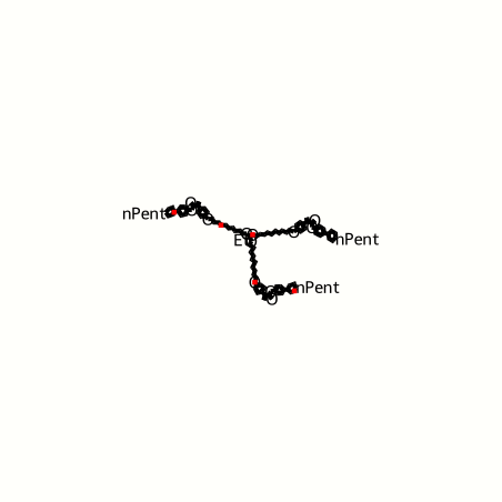 C=C(C(=O)Oc1ccc(C2CCC(CCCCC)CC2)cc1)c1ccc(OCCCCCCCCCCOC(CC)(OCCCCCCCCCCOc2ccc(C(=C)C(=O)Oc3ccc(C4CCC(CCCCC)CC4)cc3)cc2)OCCCCCCCCCCOc2ccc(C(=C)C(=O)Oc3ccc(C4CCC(CCCCC)CC4)cc3)cc2)cc1